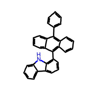 c1ccc(-c2c3ccccc3c(-c3cccc4c3[nH]c3ccccc34)c3ccccc23)cc1